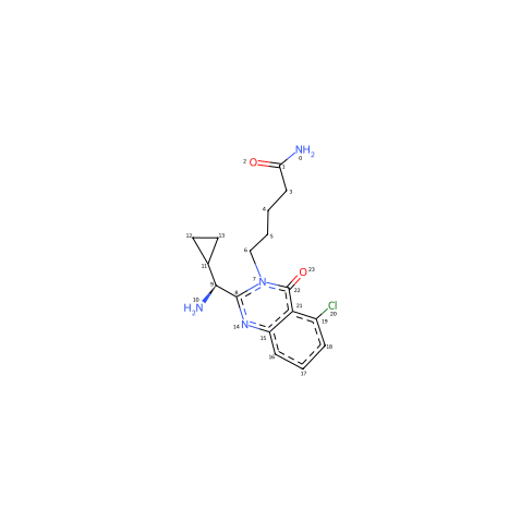 NC(=O)CCCCn1c([C@@H](N)C2CC2)nc2cccc(Cl)c2c1=O